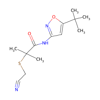 CC(C)(SCC#N)C(=O)Nc1cc(C(C)(C)C)on1